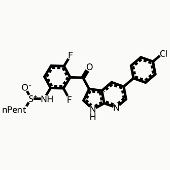 CCCCC[S+]([O-])Nc1ccc(F)c(C(=O)c2c[nH]c3ncc(-c4ccc(Cl)cc4)cc23)c1F